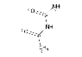 CC(=O)NC([NH])=O